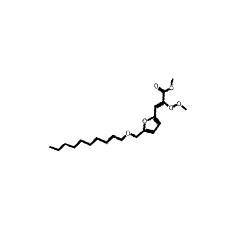 CCCCCCCCCCOCc1ccc(/C=C(\OOC)C(=O)OC)o1